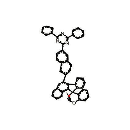 c1ccc(-c2nc(-c3ccccc3)nc(-c3ccc4cc(-c5cc6ccccc6c6c5-c5ccccc5C65c6ccccc6Oc6ccccc65)ccc4c3)n2)cc1